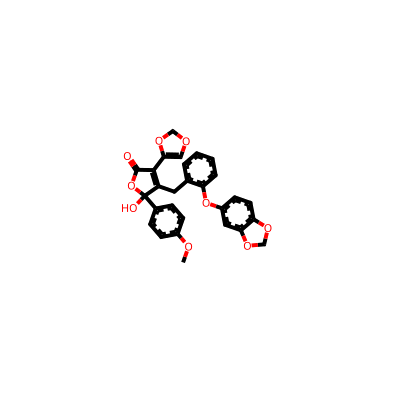 COc1ccc(C2(O)OC(=O)C(C3=COCO3)=C2Cc2ccccc2Oc2ccc3c(c2)OCO3)cc1